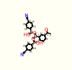 CC(=O)c1cccc(B(OB(O)c2ccc(C#N)cc2)OB(O)c2ccc(C#N)cc2)c1